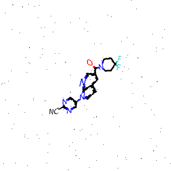 N#Cc1ncc(-n2ccc3cc(C(=O)N4CCC(F)(F)CC4)cnc32)cn1